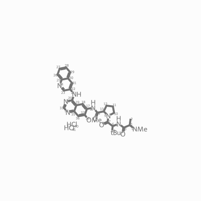 CNC(C)C(=O)NC(C(=O)N1CCCC1C(=O)Nc1cc2c(Nc3cnc4ccccc4c3)ncnc2cc1OC)C(C)(C)C.Cl.Cl